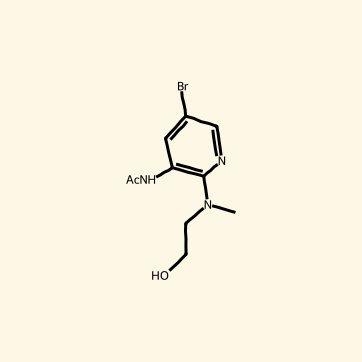 CC(=O)Nc1cc(Br)cnc1N(C)CCO